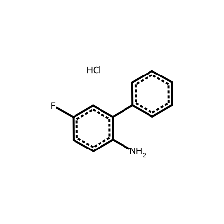 Cl.Nc1ccc(F)cc1-c1ccccc1